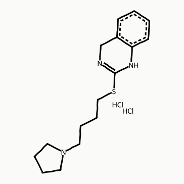 Cl.Cl.c1ccc2c(c1)CN=C(SCCCCN1CCCC1)N2